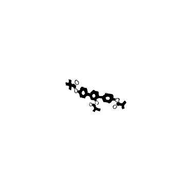 C=C(C)C(=O)Oc1ccc(-c2ccc(-c3ccc(OC(=O)C(C)(C)C)cc3)cc2OC(=O)C(=C)C)cc1